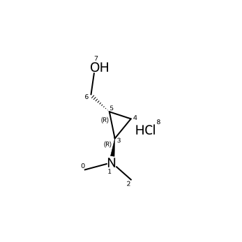 CN(C)[C@@H]1C[C@H]1CO.Cl